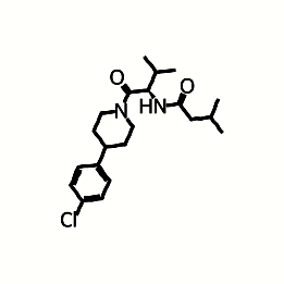 CC(C)CC(=O)N[C@@H](C(=O)N1CCC(c2ccc(Cl)cc2)CC1)C(C)C